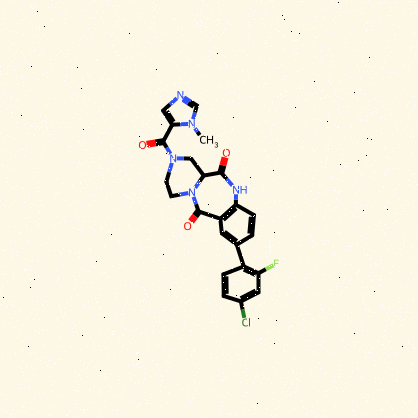 Cn1cncc1C(=O)N1CCN2C(=O)c3cc(-c4ccc(Cl)cc4F)ccc3NC(=O)C2C1